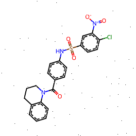 O=C(c1ccc(NS(=O)(=O)c2ccc(Cl)c([N+](=O)[O-])c2)cc1)N1CCCc2ccccc21